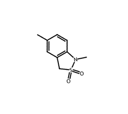 Cc1ccc2c(c1)CS(=O)(=O)N2C